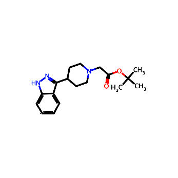 CC(C)(C)OC(=O)CN1CCC(c2n[nH]c3c[c]ccc23)CC1